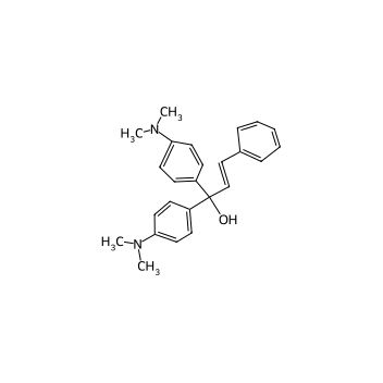 CN(C)c1ccc(C(O)(C=Cc2ccccc2)c2ccc(N(C)C)cc2)cc1